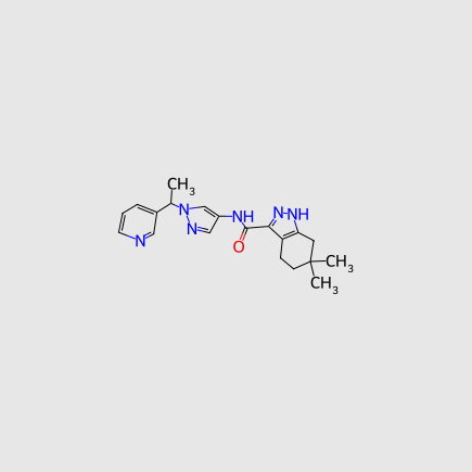 CC(c1cccnc1)n1cc(NC(=O)c2n[nH]c3c2CCC(C)(C)C3)cn1